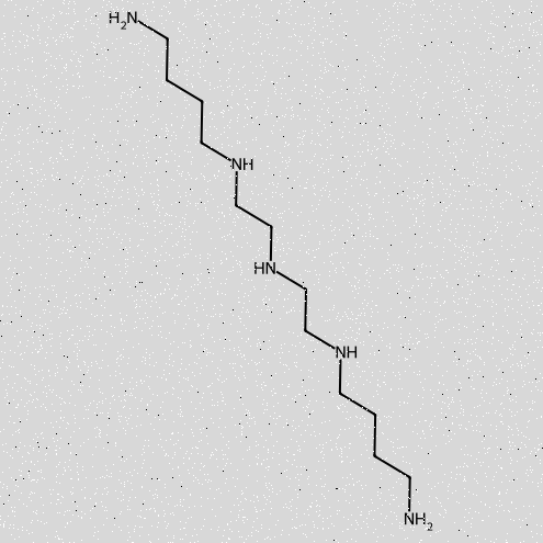 NCCCCNCCNCCNCCCCN